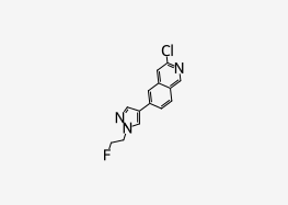 FCCn1cc(-c2ccc3cnc(Cl)cc3c2)cn1